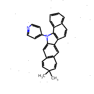 CC1(C)C=Cc2cc3c4ccc5ccccc5c4n(-c4ccncc4)c3cc2C=C1